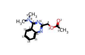 CC(=O)OCc1nc(N(C)C)c2ccccc2n1